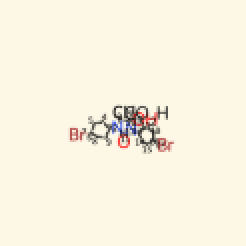 C[C@@H]1N(c2ccc(Br)cc2)C(=O)N(c2ccc(Br)cc2)C1(O)C(=O)O